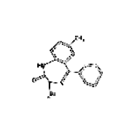 CC[C@H](C)C1N=C(c2ccccc2)c2cc(C)ccc2NC1=O